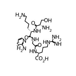 N=C(N)NCCC[C@H](NC(=O)CNC(=O)[C@H](CCCCN)NC(=O)[C@@H](N)CO)C(=O)O.Nc1nccs1